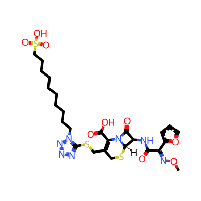 CO/N=C(/C(=O)NC1C(=O)N2C(C(=O)O)=C(CSc3nnnn3CCCCCCCCCCS(=O)(=O)O)CS[C@H]12)c1ccco1